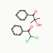 CC(C)(O)C(=O)c1ccccc1.O=C(c1ccccc1)C(Cl)Cl